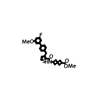 COC(=O)C1CC2(CC(NC(=O)c3sccc3Cc3ccc(-c4cc(F)cc(OC)c4)cc3)C2)C1